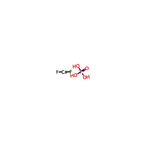 O=P(O)(O)O.[F][Ca][F]